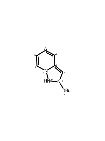 CC(C)(C)N1C=C2C=NC=CN2N1